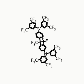 FC(F)(F)c1cc(N(c2ccc(C3(C(F)(F)F)c4ccc(N(c5cc(C(F)(F)F)cc(C(F)(F)F)c5)c5cc(C(F)(F)F)cc(C(F)(F)F)c5)cc4C3(F)F)cc2)c2cc(C(F)(F)F)cc(C(F)(F)F)c2)cc(C(F)(F)F)c1